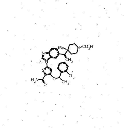 C=C(c1ccc2ncn(-c3cc(O[C@H](C)c4ccccc4Cl)c(C(N)=O)s3)c2c1)C1(C(C)(C)C)CCN(C(=O)O)CC1